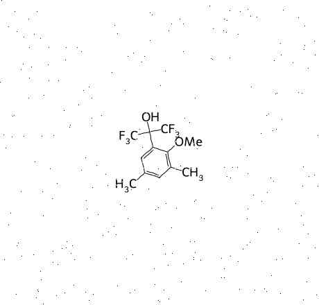 COc1c(C)cc(C)cc1C(O)(C(F)(F)F)C(F)(F)F